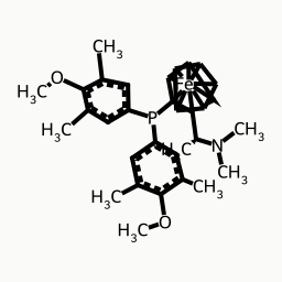 COc1c(C)cc(P(c2cc(C)c(OC)c(C)c2)[C]23[CH]4[CH]5[CH]6[C@]2([C@H](C)N(C)C)[Fe]54632789[CH]3[CH]2[CH]7[CH]8[CH]39)cc1C